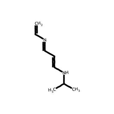 C=C/N=C/C=C/NC(C)C